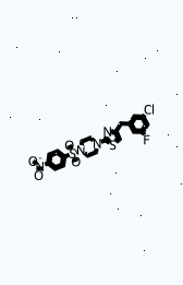 O=[N+]([O-])c1ccc(S(=O)(=O)N2CCN(c3nc(Cc4cc(F)cc(Cl)c4)cs3)CC2)cc1